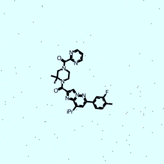 Cc1ccc(-c2cc(C(C)C)c3nc(C(=O)N4CCN(C(=O)c5ncccn5)CC4(C)C)cn3n2)cc1F